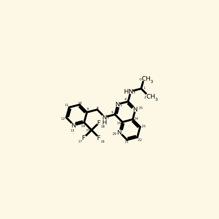 CC(C)Nc1nc(NCc2cccnc2C(F)(F)F)c2ncccc2n1